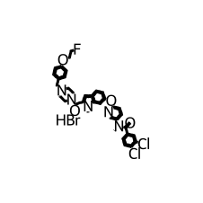 Br.CN(C(=O)c1ccc(Cl)c(Cl)c1)c1ccc(Oc2ccc3cc(C(=O)N4CCN(Cc5ccc(OCCF)cc5)CC4)n(C)c3c2)nc1